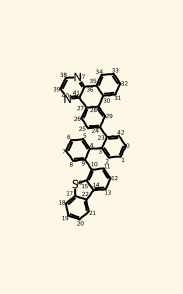 c1ccc(-c2ccccc2-c2cccc3c2sc2ccccc23)c(-c2ccc3c(c2)c2ccccc2c2nccnc32)c1